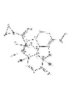 COC1=C2O[C@H]3C(=O)C=C[C@H]4[C@H]5CC(C=C1)C2[C@@]34CC[N+]5(C)C(=O)C1CC1